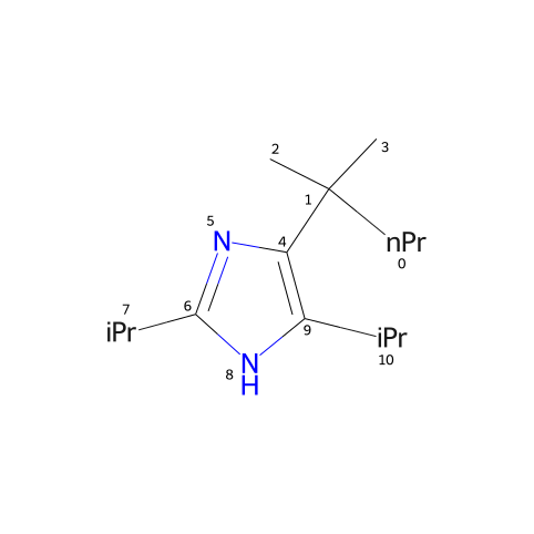 CCCC(C)(C)c1nc(C(C)C)[nH]c1C(C)C